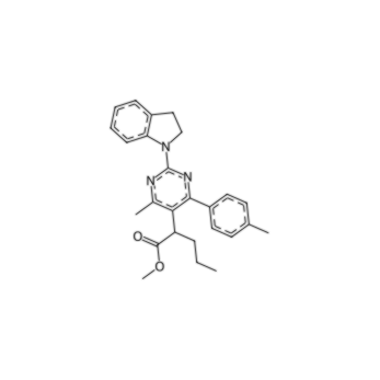 CCCC(C(=O)OC)c1c(C)nc(N2CCc3ccccc32)nc1-c1ccc(C)cc1